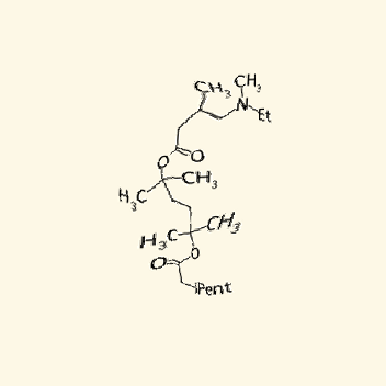 CCCC(C)CC(=O)OC(C)(C)CCC(C)(C)OC(=O)CC(C)CN(C)CC